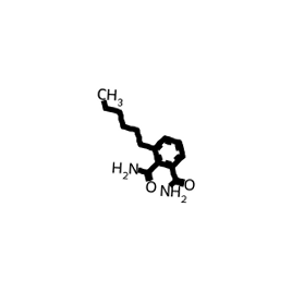 CCCCCCc1cccc(C(N)=O)c1C(N)=O